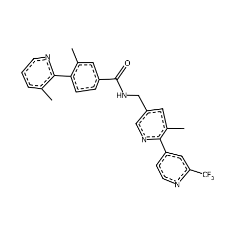 Cc1cc(C(=O)NCc2cnc(-c3ccnc(C(F)(F)F)c3)c(C)c2)ccc1-c1ncccc1C